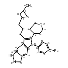 CC1CC(CCCc2c(C3CCOCC3)n(-c3ccc(F)cc3)c3cc4cn[nH]c4cc23)C1